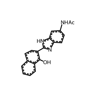 CC(=O)Nc1ccc2nc(-c3ccc4ccccc4c3O)[nH]c2c1